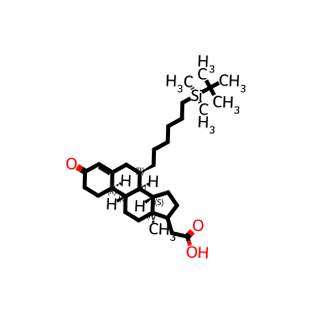 CC(C)(C)[Si](C)(C)CCCCCC[C@@H]1CC2=CC(=O)CC[C@@H]2[C@H]2CC[C@]3(C)C(CC(=O)O)CC[C@H]3[C@H]12